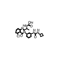 CC(NC(=O)O)c1nc2cccc(Cl)c2c(=O)n1-c1cccc(NC(=O)NC2CCC2)c1